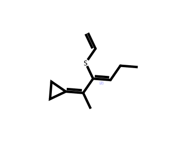 C=CS/C(=C\CC)C(C)=C1CC1